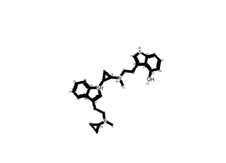 CN(CCC1=C[SH](C2CC2N(C)CCc2csc3cccc(O)c23)c2ccccc21)C1CC1